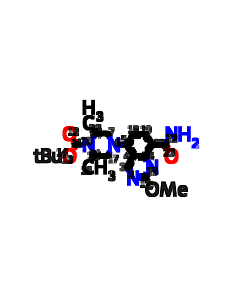 COc1ncc2c(N3C[C@@H](C)N(C(=O)OC(C)(C)C)[C@@H](C)C3)ccc(C(N)=O)c2n1